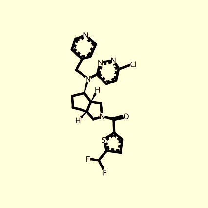 O=C(c1ccc(C(F)F)s1)N1C[C@@H]2CC[C@@H](N(Cc3ccncc3)c3ccc(Cl)nn3)[C@@H]2C1